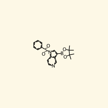 CC1(C)OB(c2cn(S(=O)(=O)c3ccccc3)c3ccncc23)OC1(C)C